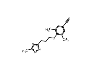 Cc1nnc(CCCOc2c(C)cc(C#N)cc2C)s1